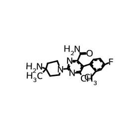 Cc1nc(N2CCC(C)(N)CC2)nc(C(N)=O)c1-c1ccc(F)cc1Cl